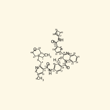 CCC1(CCc2ncc(C)cc2C(=O)Nc2ccc(C(=O)N3c4ccccc4N=C(c4ccc(C(=O)NC56CC(C5)C6)s4)[C@H]3C)cc2)CCOCC1